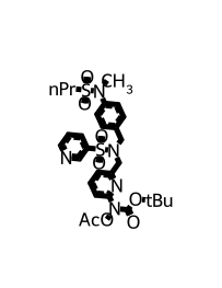 CCCS(=O)(=O)N(C)c1ccc(CN(Cc2cccc(N(OC(C)=O)C(=O)OC(C)(C)C)n2)S(=O)(=O)c2cccnc2)cc1